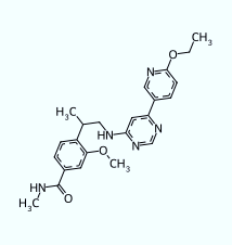 CCOc1ccc(-c2cc(NCC(C)c3ccc(C(=O)NC)cc3OC)ncn2)cn1